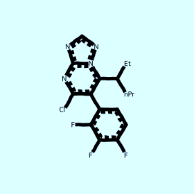 CCCC(CC)c1c(-c2ccc(F)c(F)c2F)c(Cl)nc2ncnn12